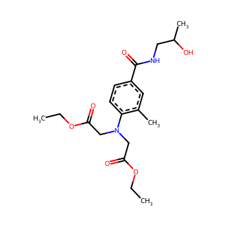 CCOC(=O)CN(CC(=O)OCC)c1ccc(C(=O)NCC(C)O)cc1C